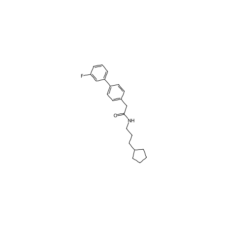 O=C(Cc1ccc(-c2cccc(F)c2)cc1)NCCCC1CCCC1